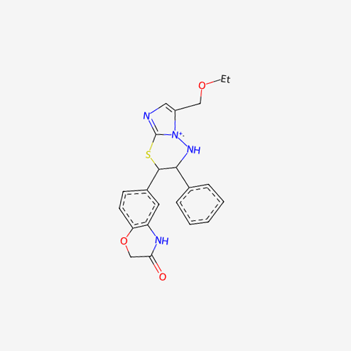 CCOCC1=CN=C2SC(c3ccc4c(c3)NC(=O)CO4)C(c3ccccc3)N[N+]12